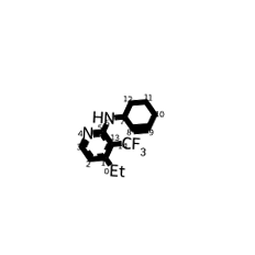 CCc1ccnc(NC2C#CCCC2)c1C(F)(F)F